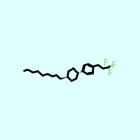 CCCCCCCCC[C@H]1CC[C@H](c2ccc(CCC(F)(F)F)cc2)CC1